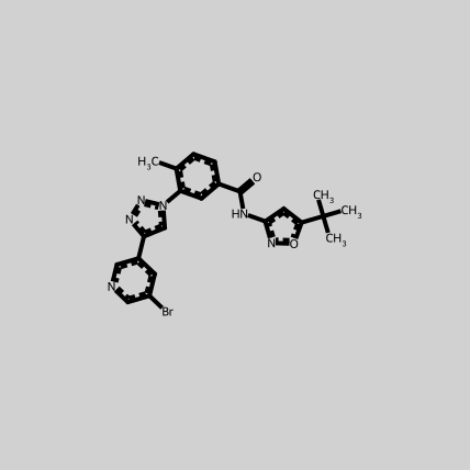 Cc1ccc(C(=O)Nc2cc(C(C)(C)C)on2)cc1-n1cc(-c2cncc(Br)c2)nn1